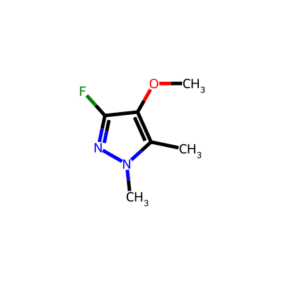 COc1c(F)nn(C)c1C